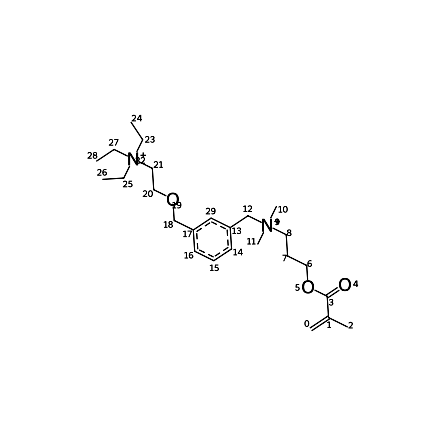 C=C(C)C(=O)OCCC[N+](C)(C)Cc1cccc(COCC[N+](CC)(CC)CC)c1